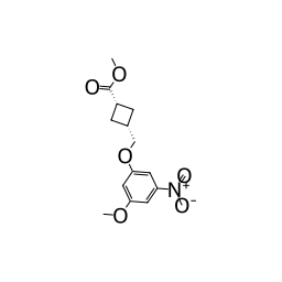 COc1cc(OC[C@H]2C[C@@H](C(=O)OC)C2)cc([N+](=O)[O-])c1